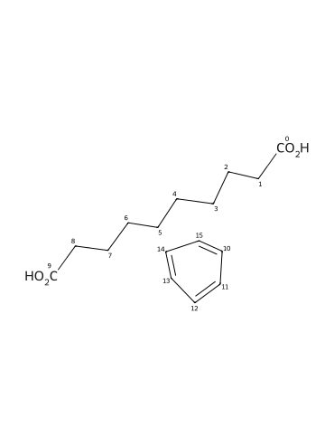 O=C(O)CCCCCCCCC(=O)O.c1ccccc1